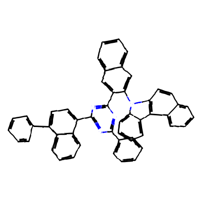 c1ccc(-c2nc(-c3cc4ccccc4cc3-n3c4ccccc4c4c5ccccc5ccc43)nc(-c3ccc(-c4ccccc4)c4ccccc34)n2)cc1